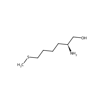 CSCCCC[C@H](N)CO